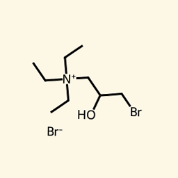 CC[N+](CC)(CC)CC(O)CBr.[Br-]